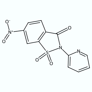 O=C1c2ccc([N+](=O)[O-])cc2S(=O)(=O)N1c1ccccn1